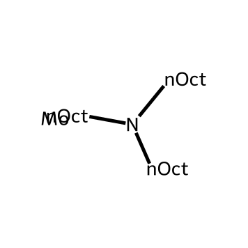 CCCCCCCCN(CCCCCCCC)CCCCCCCC.[Mo]